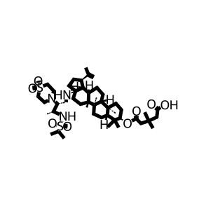 C=C(C)[C@@H]1CC[C@]2(NC[C@H]([C@@H](C)NS(=O)(=O)C(C)C)N3CCS(=O)(=O)CC3)CC[C@]3(C)[C@H](CC[C@@H]4[C@@]5(C)CC[C@H](OC(=O)CC(C)(C)CC(=O)O)C(C)(C)[C@@H]5CC[C@]43C)[C@@H]12